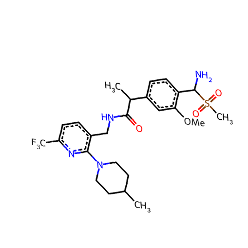 COc1cc(C(C)C(=O)NCc2ccc(C(F)(F)F)nc2N2CCC(C)CC2)ccc1C(N)S(C)(=O)=O